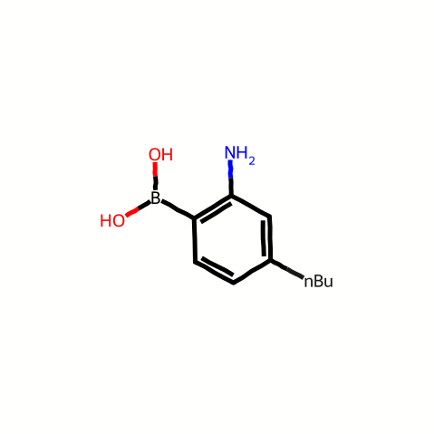 CCCCc1ccc(B(O)O)c(N)c1